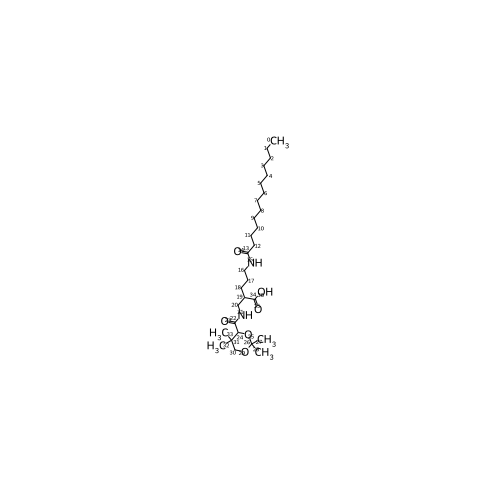 CCCCCCCCCCCCCC(=O)NCCCC(CNC(=O)C1OC(C)(C)OCC1(C)C)C(=O)O